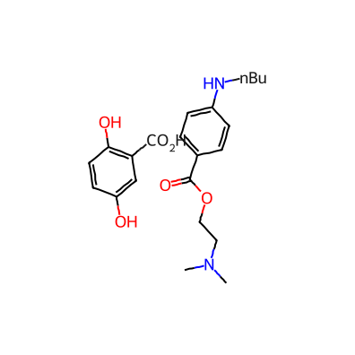 CCCCNc1ccc(C(=O)OCCN(C)C)cc1.O=C(O)c1cc(O)ccc1O